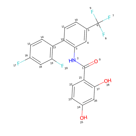 O=C(Nc1cc(C(F)(F)F)ccc1-c1ccc(F)cc1F)c1ccc(O)cc1O